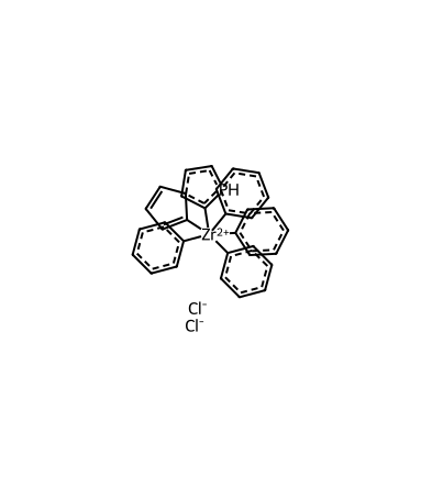 C1=CC[C]([Zr+2]([c]2ccccc2)([c]2ccccc2)([c]2ccccc2)([c]2ccccc2)[c]2ccc[pH]2)=C1.[Cl-].[Cl-]